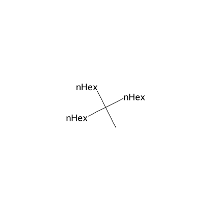 CCCCCCC(C)(CCCCCC)CCCCCC